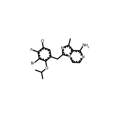 Cc1nc(Cc2cc(Cl)c(F)c(Br)c2OC(C)C)n2ccnc(N)c12